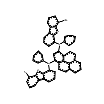 CC(C)(C)c1cccc2c1oc1c(N(c3ccccc3)c3cc(N(c4ccccc4)c4cccc5c4oc4c(C(C)(C)C)cccc45)c4ccc5cccc6ccc3c4c65)cccc12